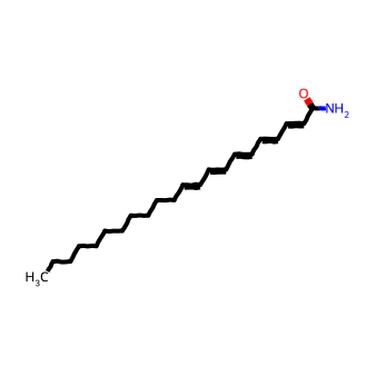 CCCCCCCCCCCC=CC=CC=CC=CC=CC(N)=O